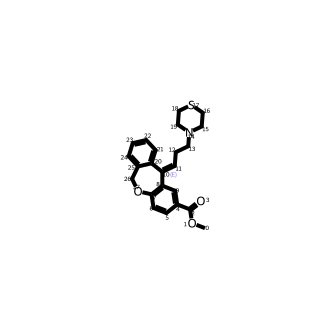 COC(=O)c1ccc2c(c1)/C(=C/CCN1CCSCC1)c1ccccc1CO2